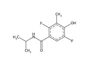 Cc1c(O)c(F)cc(C(=O)NC(C)C)c1F